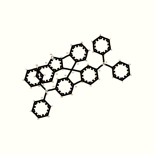 c1ccc(N(c2ccccc2)c2ccc3c(c2)C2(c4cc(N(c5ccccc5)c5ccccc5)ccc4-3)c3ccccc3-c3oc4ccccc4c32)cc1